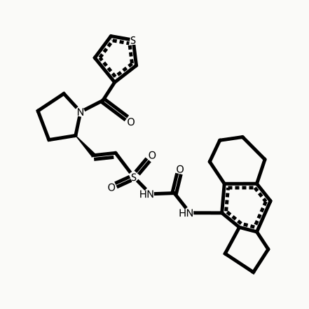 O=C(Nc1c2c(cc3c1CCC3)CCCC2)NS(=O)(=O)/C=C/[C@H]1CCCN1C(=O)c1ccsc1